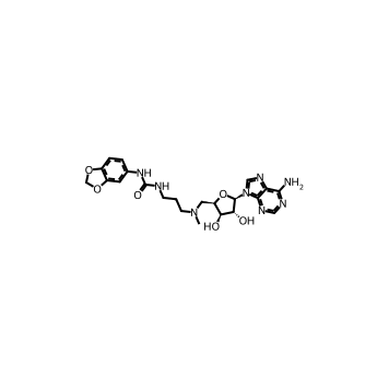 CN(CCCNC(=O)Nc1ccc2c(c1)OCO2)C[C@H]1O[C@@H](n2cnc3c(N)ncnc32)[C@H](O)[C@H]1O